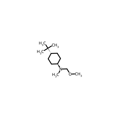 COCN(C)[C@H]1CC[C@H](C(C)(C)C)CC1